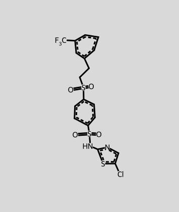 O=S(=O)(CCc1cccc(C(F)(F)F)c1)c1ccc(S(=O)(=O)Nc2ncc(Cl)s2)cc1